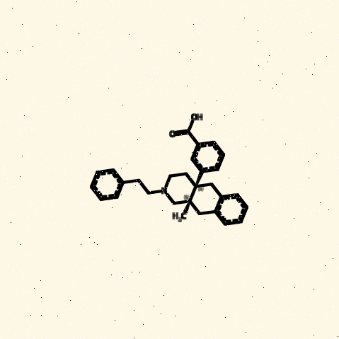 C[C@]12Cc3ccccc3C[C@@]1(c1cccc(C(=O)O)c1)CCN(CCc1ccccc1)C2